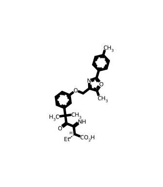 CC[C@H](C(=N)C(=O)C(C)(C)c1cccc(OCc2nc(-c3ccc(C)cc3)oc2C)c1)C(=O)O